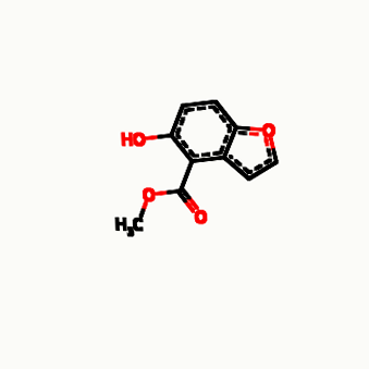 COC(=O)c1c(O)ccc2occc12